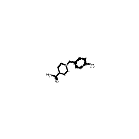 NC(=O)C1CCN(Cc2ccc(N)cc2)CC1